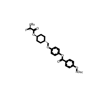 CCCCCCCCCCOc1ccc(C(=O)Oc2ccc(OC[C@H]3CC[C@H](OC(=O)[C@@H](F)CCCC)CC3)cc2)cc1